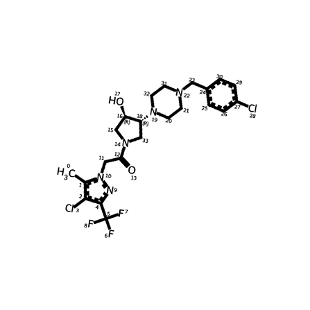 Cc1c(Cl)c(C(F)(F)F)nn1CC(=O)N1C[C@@H](O)[C@H](N2CCN(Cc3ccc(Cl)cc3)CC2)C1